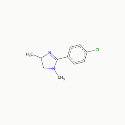 CC1CN(C)C(c2ccc(Cl)cc2)=N1